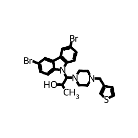 CC(O)C(N1CCN(Cc2ccsc2)CC1)n1c2ccc(Br)cc2c2cc(Br)ccc21